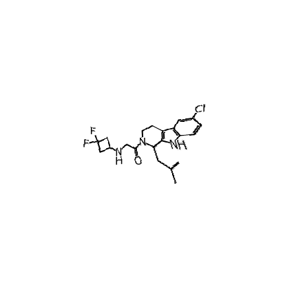 CC(C)CC1c2[nH]c3ccc(Cl)cc3c2CCN1C(=O)CNC1CC(F)(F)C1